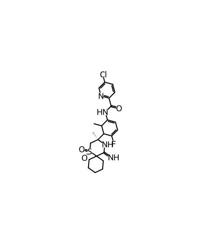 CC1C(NC(=O)c2ccc(Cl)cn2)=CC=C(F)C1[C@]1(C)CS(=O)(=O)C2(CCCCC2)C(=N)N1